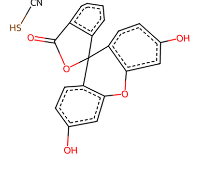 N#CS.O=C1OC2(c3ccc(O)cc3Oc3cc(O)ccc32)c2ccccc21